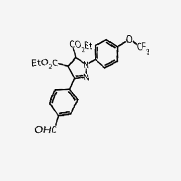 CCOC(=O)C1C(c2ccc(C=O)cc2)=NN(c2ccc(OC(F)(F)F)cc2)C1C(=O)OCC